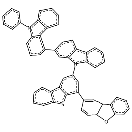 C1=CC2Oc3ccccc3C2C=C1c1cc(-n2c3ccccc3c3ccc(-c4cccc5c4c4ccccc4n5-c4ccccc4)cc32)cc2c1sc1ccccc12